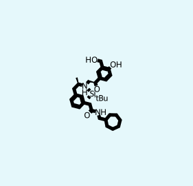 C[C@H](Cc1cccc(CC(=O)NCC2CCCCCC2)c1)NC[C@H](O[Si](C)(C)C(C)(C)C)c1ccc(O)c(CO)c1